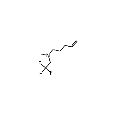 C=CCCCN(C)CC(F)(F)F